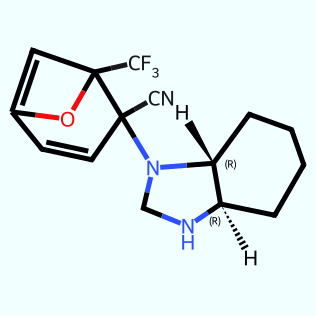 N#CC1(N2CN[C@@H]3CCCC[C@H]32)C=CC2=CC1(C(F)(F)F)O2